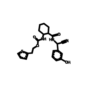 N#CC(NC(=O)C1CCCCC1NC(=O)OCCc1cccs1)c1cccc(O)c1